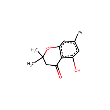 CC(C)c1cc(O)c2c(c1)OC(C)(C)CC2=O